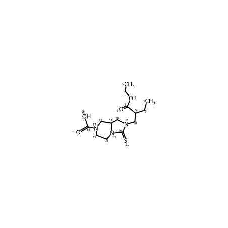 CCOC(=O)C(CC)CN1CC2CN(C(=O)O)CCN2C1=S